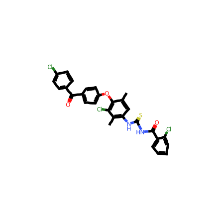 Cc1cc(NC(=S)NC(=O)c2ccccc2Cl)c(C)c(Cl)c1Oc1ccc(C(=O)c2ccc(Cl)cc2)cc1